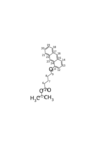 CC(C)OC(=O)CCCCOc1cccc2cc3ccccc3cc12